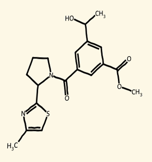 COC(=O)c1cc(C(=O)N2CCCC2c2nc(C)cs2)cc(C(C)O)c1